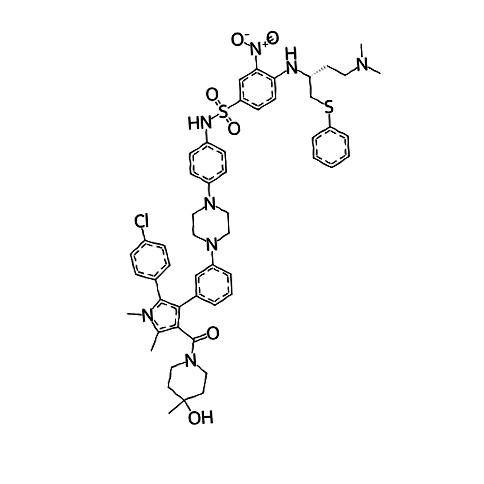 Cc1c(C(=O)N2CCC(C)(O)CC2)c(-c2cccc(N3CCN(c4ccc(NS(=O)(=O)c5ccc(N[C@H](CCN(C)C)CSc6ccccc6)c([N+](=O)[O-])c5)cc4)CC3)c2)c(-c2ccc(Cl)cc2)n1C